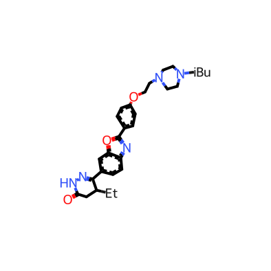 CCC1CC(=O)NN=C1c1ccc2nc(-c3ccc(OCCN4CCN(C(C)CC)CC4)cc3)oc2c1